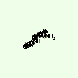 NC(=O)[C@H]1CCCN1c1ccc(-c2ccnc(Nc3ccc(N4CCOCC4)nc3)n2)cc1